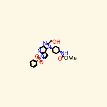 COC(=O)NC1CCC(n2c(CO)nc3cnc4c(ccn4S(=O)(=O)c4ccccc4)c32)CC1